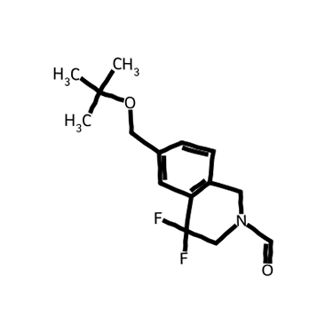 CC(C)(C)OCc1ccc2c(c1)C(F)(F)CN(C=O)C2